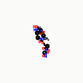 Cc1ccc(S(=O)(=O)N2CC[C@@H]3[C@H](CO)Nc4ccc(-c5cccc(NC(=O)COCCc6cccc7c6C(=O)N(C6CCC(=O)NC6=O)C7=O)c5)cc4[C@@H]32)cc1